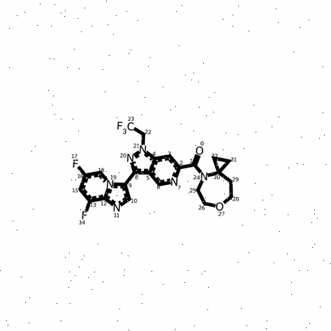 O=C(c1cc2c(cn1)c(-c1cnc3c(F)cc(F)cn13)nn2CC(F)(F)F)N1CCOCCC12CC2